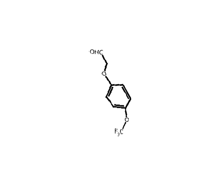 O=[C]COc1ccc(OC(F)(F)F)cc1